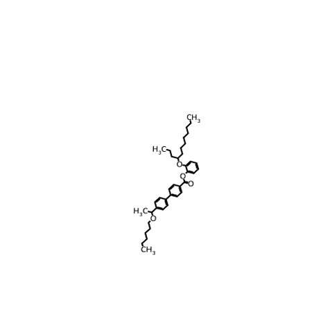 CCCCCCCCC(CCC)Oc1ccccc1OC(=O)c1ccc(-c2ccc(C(C)OCCCCCC)cc2)cc1